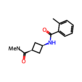 CNC(=O)[C@H]1C[C@@H](NC(=O)c2ccccc2C)C1